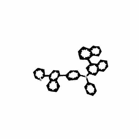 c1ccc(N(c2ccc(-c3ccc(-c4ccccn4)c4ccccc34)cc2)c2cc(-c3cccc4ccccc34)c3ccccc3c2)cc1